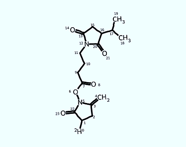 [2H]C1CC(=C)N(OC(=O)CCCN2C(=O)CC(C(C)C)C2=O)C1=O